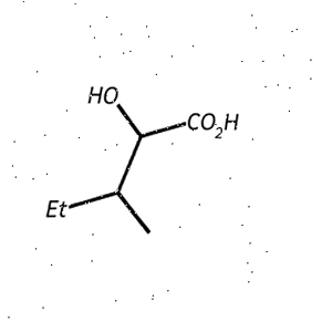 CCC(C)C(O)C(=O)O